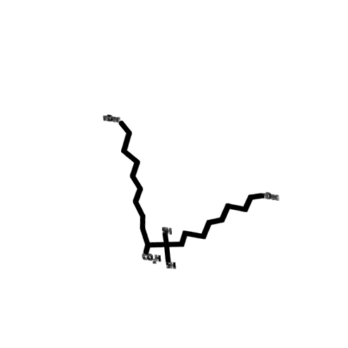 CCCCCCCCCCCCCCCCCCC(C(=O)O)C(S)(S)CCCCCCCCCCCCCCCCCC